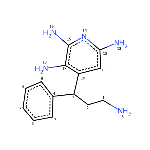 NCCC(c1ccccc1)c1cc(N)nc(N)c1N